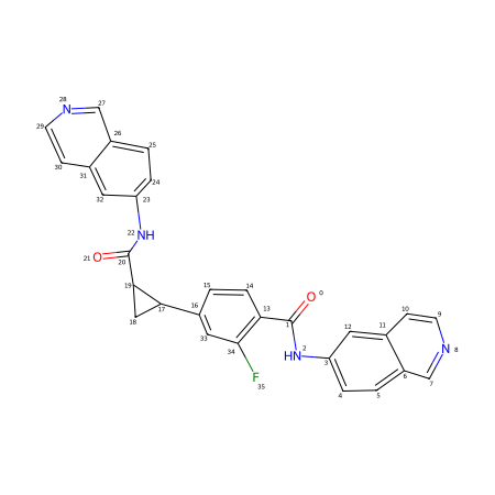 O=C(Nc1ccc2cnccc2c1)c1ccc(C2CC2C(=O)Nc2ccc3cnccc3c2)cc1F